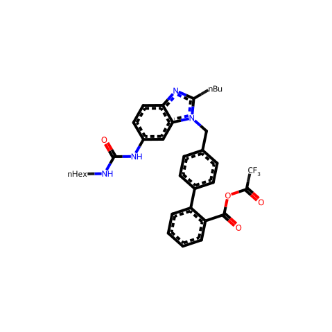 CCCCCCNC(=O)Nc1ccc2nc(CCCC)n(Cc3ccc(-c4ccccc4C(=O)OC(=O)C(F)(F)F)cc3)c2c1